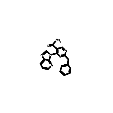 NC(=O)c1cnc(Cc2ccccc2)nc1-n1cnc2cccnc21